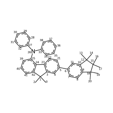 CC1(C)c2cc(-c3ccc4c(c3)C(C)(C)C(C)(C)C4(C)C)ccc2-c2c(N(c3ccccc3)c3ccccc3)cccc21